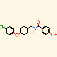 O=C(NCC1CCC(Oc2ccc(Cl)cc2)CC1)c1ccc(O)cc1